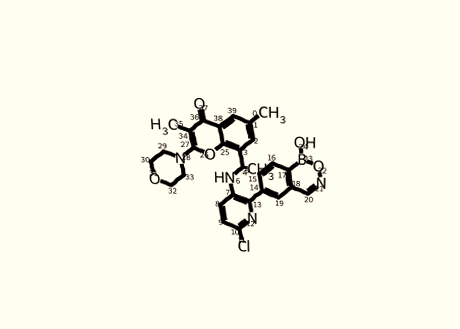 Cc1cc([C@@H](C)Nc2ccc(Cl)nc2-c2ccc3c(c2)C=NOB3O)c2oc(N3CCOCC3)c(C)c(=O)c2c1